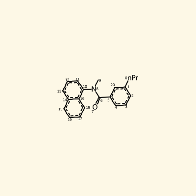 CCCc1cccc(C(=O)N(C)c2cccc3ccccc23)c1